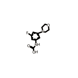 O=C(O)Nc1cc(F)cc(N2CCOCC2)c1